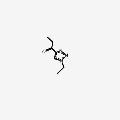 CCC(=O)c1cn(CC)nn1